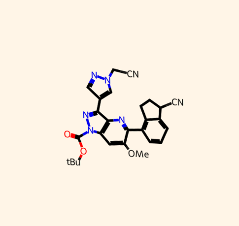 COc1cc2c(nc1-c1cccc3c1CCC3C#N)c(-c1cnn(CC#N)c1)nn2C(=O)OC(C)(C)C